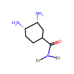 CCN(CC)C(=O)C1CC[C@H](N)[C@H](N)C1